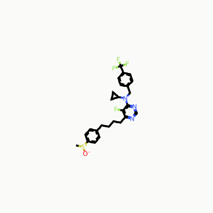 C[S+]([O-])c1ccc(CCCCc2ncnc(N(Cc3ccc(C(F)(F)F)cc3)C3CC3)c2F)cc1